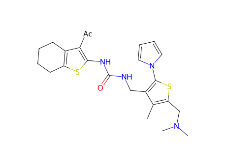 CC(=O)c1c(NC(=O)NCc2c(-n3cccc3)sc(CN(C)C)c2C)sc2c1CCCC2